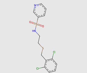 O=S(=O)(NCCSCc1c(Cl)cccc1Cl)c1cccnc1